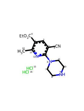 CCOC(=O)c1cc(C#N)c(N2CCNCC2)nc1C.Cl.Cl